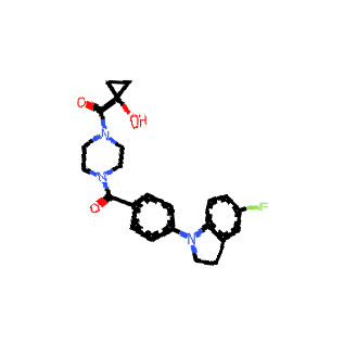 O=C(c1ccc(N2CCc3cc(F)ccc32)cc1)N1CCN(C(=O)C2(O)CC2)CC1